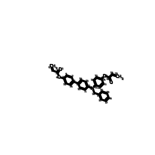 C=CC(=O)Oc1ccc(-c2ccc(N(Cc3ccccc3)c3ccc(OC(=O)C=C)cc3)cc2)cc1